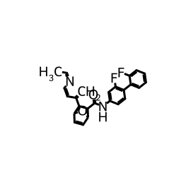 C=C(/C=C\N=C/C)c1c(C(=O)Nc2ccc(-c3ccccc3F)c(F)c2)c2ccc1o2